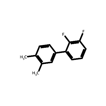 Cc1ccc(-c2cccc(F)c2F)cc1C